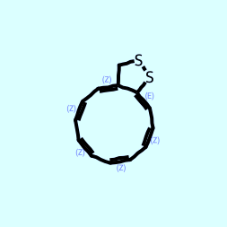 C1=C\C=C/C=C2/CSS/C2=C/C=C\C=C/1